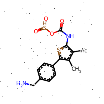 CC(=O)c1c(NC(=O)O[SH](=O)=O)sc(-c2ccc(CN)cc2)c1C